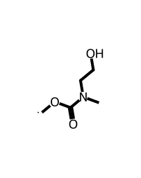 [CH2]OC(=O)N(C)CCO